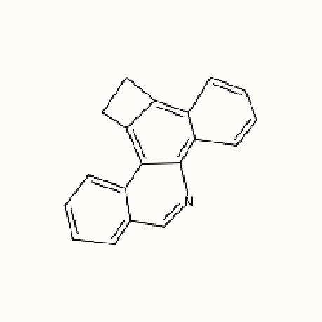 c1ccc2c(c1)cnc1c3ccccc3c3c(c21)CC3